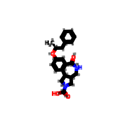 C[C@H](Cc1ccccc1)Oc1ccc2c(c1)C(=O)NCC1CN(C(=O)O)CC21